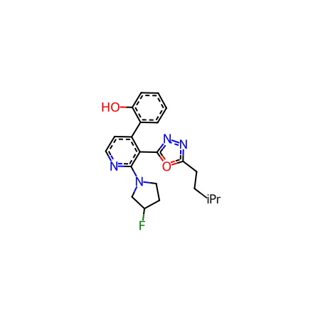 CC(C)CCc1nnc(-c2c(-c3ccccc3O)ccnc2N2CCC(F)C2)o1